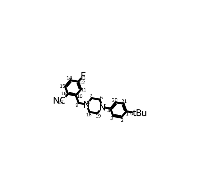 CC(C)(C)c1ccc(N2CCN(Cc3cc(F)ccc3C#N)CC2)cc1